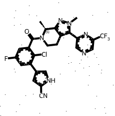 C[C@H]1c2nn(C)c(-c3cncc(C(F)(F)F)n3)c2CCN1C(=O)c1cc(F)cc(-c2c[nH]c(C#N)c2)c1Cl